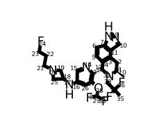 C[C@@H]1Cc2c(ccc3[nH]ncc23)[C@@H](c2ncc(NC3CN(CCCF)C3)cc2OC(F)F)N1CC(C)(F)F